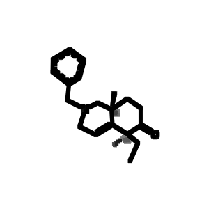 CC[C@]1(C)C(=O)CC[C@@]2(C)CN(Cc3ccccc3)CC=C21